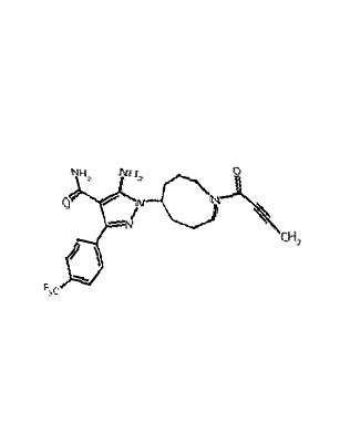 CC#CC(=O)N1CCCC(n2nc(-c3ccc(C(F)(F)F)cc3)c(C(N)=O)c2N)CCC1